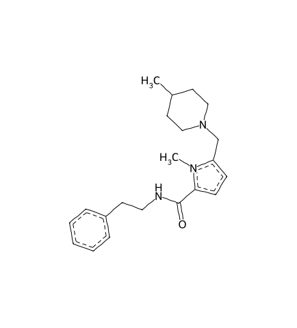 CC1CCN(Cc2ccc(C(=O)NCCc3ccccc3)n2C)CC1